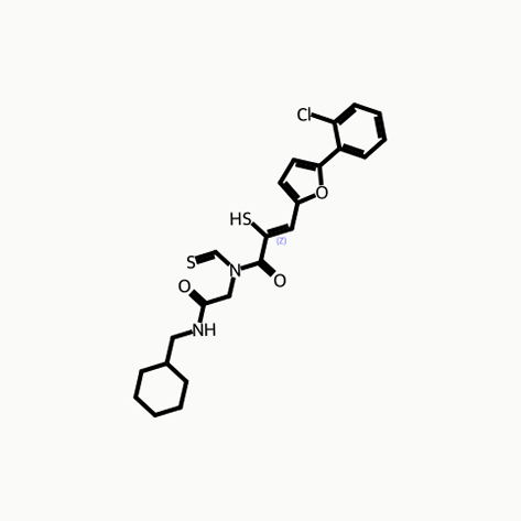 O=C(CN(C=S)C(=O)/C(S)=C/c1ccc(-c2ccccc2Cl)o1)NCC1CCCCC1